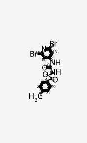 Cc1ccc(S(=O)(=O)NC(=O)Nc2cc(Br)nc(Br)c2)cc1